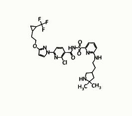 CC1(C)CC(CCNc2cccc(S(=O)(=O)NC(=O)c3ccc(-n4ccc(OCCC5CC5C(F)(F)F)n4)nc3Cl)n2)CN1